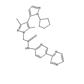 Cc1nn(CC(=O)Nc2ccc(-c3cnccn3)cn2)c(C)c1-c1ccnn1C1CCCC1